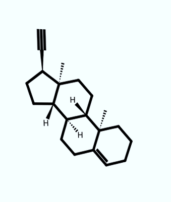 C#C[C@@H]1CC[C@H]2[C@@H]3CCC4=CCCC[C@]4(C)[C@H]3CC[C@]12C